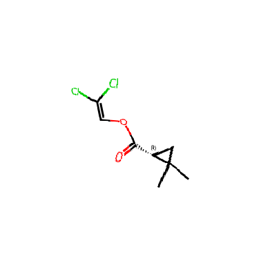 CC1(C)C[C@H]1C(=O)OC=C(Cl)Cl